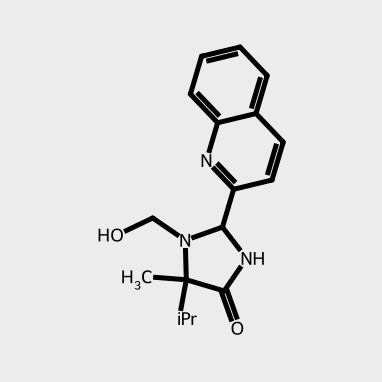 CC(C)C1(C)C(=O)NC(c2ccc3ccccc3n2)N1CO